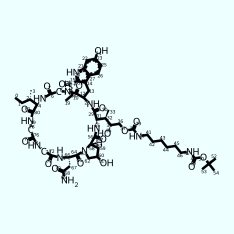 CC[C@H](C)[C@@H]1NC(=O)CNC(=O)C(Cc2c([S@+]([O-])CC)[nH]c3cc(O)ccc23)NC(=O)[C@H]([C@@H](C)[C@@H](O)COC(=O)NCCCCCCNC(=O)OC(C)(C)C)NC(=O)[C@@H]2CC(O)CN2C(=O)[C@H](CC(N)=O)NC(=O)CNC(=O)CNC1=O